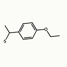 CCOc1ccc(C(C)[S])cc1